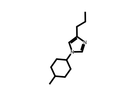 CCCc1cn(C2CCC(C)CC2)cn1